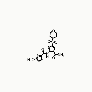 Cc1ccc(C(=O)NC2SC(S(=O)(=O)C3CCOCC3)=CC2C(N)=O)s1